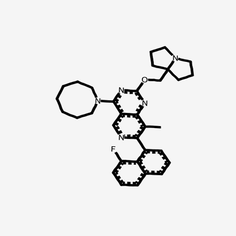 Cc1c(-c2cccc3cccc(F)c23)ncc2c(N3CCCCCCC3)nc(OCC34CCCN3CCC4)nc12